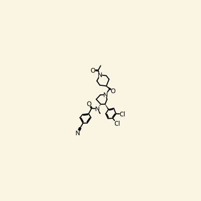 CC(=O)N1CCC(C(=O)N2CC[C@@H](N(C)C(=O)c3ccc(C#N)cc3)[C@H](c3ccc(Cl)c(Cl)c3)C2)CC1